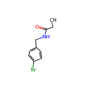 N#CCC(=O)NCc1ccc(Br)cc1